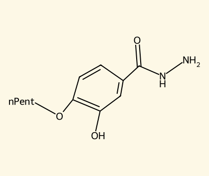 CCCCCOc1ccc(C(=O)NN)cc1O